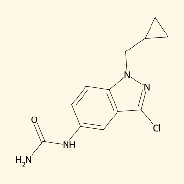 NC(=O)Nc1ccc2c(c1)c(Cl)nn2CC1CC1